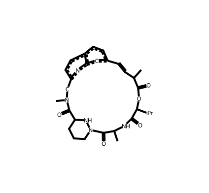 CC1/C=C/c2ccc3ccc(nc3c2)CN(C)C(=O)C2CCCN(N2)C(=O)C(C)NC(=O)C(C(C)C)OC1=O